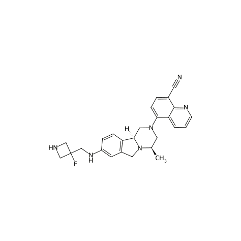 C[C@@H]1CN(c2ccc(C#N)c3ncccc23)C[C@@H]2c3ccc(NCC4(F)CNC4)cc3CN12